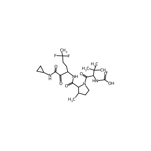 CC1CCN(C(=O)C(NC(=O)O)C(C)(C)C)C1C(=O)NC(CCC(C)(F)F)C(=O)C(=O)NC1CC1